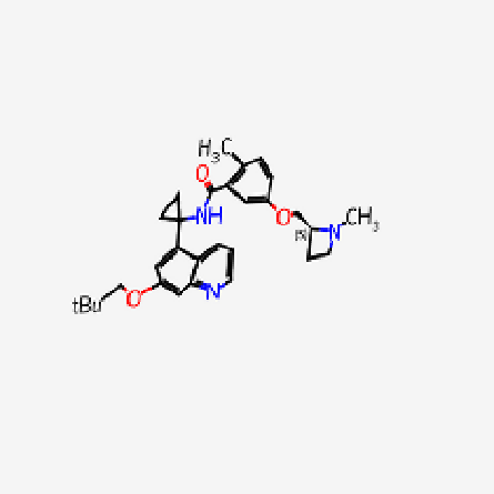 Cc1ccc(OC[C@@H]2CCN2C)cc1C(=O)NC1(c2cc(OCC(C)(C)C)cc3ncccc23)CC1